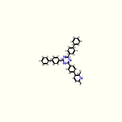 Cc1ccc(-c2ccc(-c3nc(-c4ccc(-c5ccccc5)cc4)nc(-c4ccc(-c5ccccc5)cc4)n3)cc2)c(C)n1